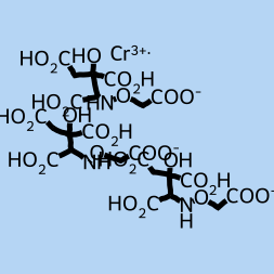 O=C([O-])CONC(C(=O)O)C(O)(CC(=O)O)C(=O)O.O=C([O-])CONC(C(=O)O)C(O)(CC(=O)O)C(=O)O.O=C([O-])CONC(C(=O)O)C(O)(CC(=O)O)C(=O)O.[Cr+3]